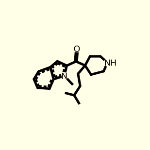 CC(C)CCC1(C(=O)c2cc3ccccc3n2C)CCNCC1